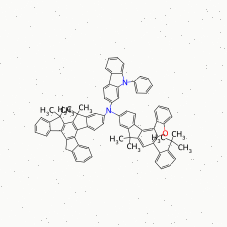 CC(C)(C)c1ccccc1-c1cc2c(c3c1oc1ccccc13)-c1ccc(N(c3ccc4c(c3)C(C)(C)c3c-4c4c(c5c3C(C)(C)c3ccccc3-5)Cc3ccccc3-4)c3ccc4c5ccccc5n(-c5ccccc5)c4c3)cc1C2(C)C